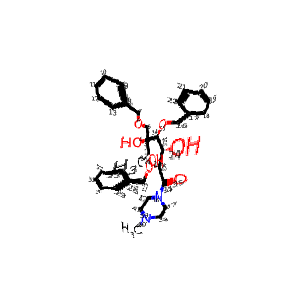 C[C@@H](O)C(O)(COCc1ccccc1)[C@@H](OCc1ccccc1)[C@H](O)[C@@H](OCc1ccccc1)C(=O)N1CCN(C)CC1